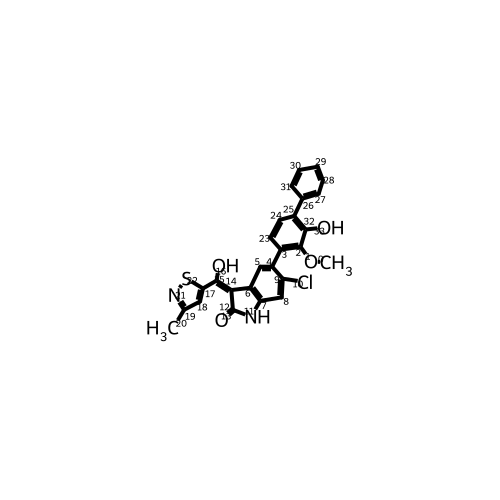 COc1c(-c2cc3c(cc2Cl)NC(=O)/C3=C(/O)c2cc(C)ns2)ccc(-c2ccccc2)c1O